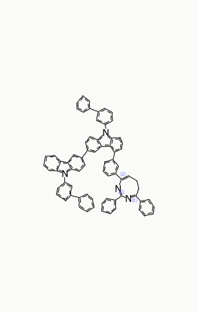 C1=C(c2cccc(-c3cccc4c3c3cc(-c5ccc6c(c5)c5ccccc5n6-c5cccc(-c6ccccc6)c5)ccc3n4-c3cccc(-c4ccccc4)c3)c2)/N=C(c2ccccc2)\N=C(\c2ccccc2)CC\1